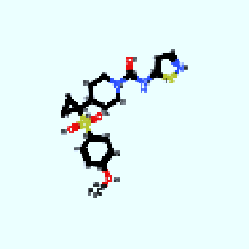 O=C(Nc1ccns1)N1CCC(C2(S(=O)(=O)c3ccc(OC(F)(F)F)cc3)CC2)CC1